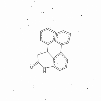 O=C1CC(c2ccccc2)c2c(cccc2-c2ccccc2)N1